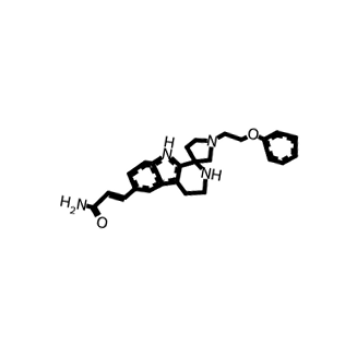 NC(=O)C=Cc1ccc2[nH]c3c(c2c1)CCNC31CCN(CCOc2ccccc2)C1